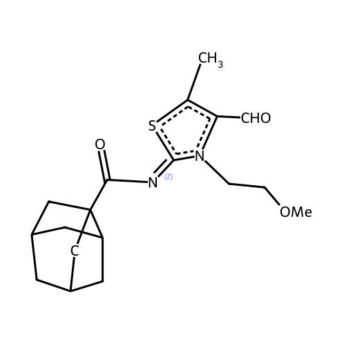 COCCn1c(C=O)c(C)s/c1=N\C(=O)C12CC3CC(CC1C3)C2